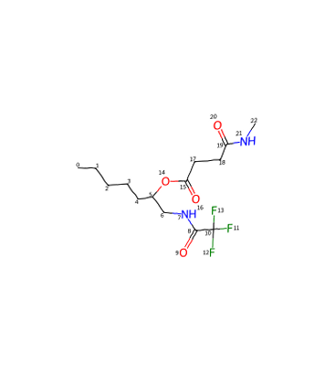 CCCCCC(CNC(=O)C(F)(F)F)OC(=O)CCC(=O)NC